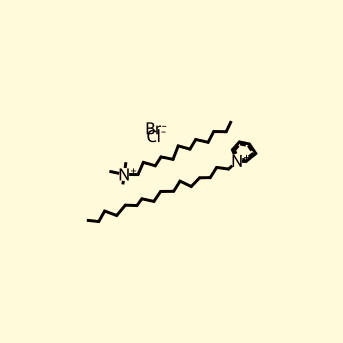 CCCCCCCCCCCCCCCC[n+]1ccccc1.CCCCCCCCCCCC[N+](C)(C)C.[Br-].[Cl-]